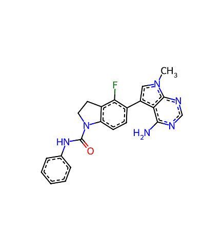 Cn1cc(-c2ccc3c(c2F)CCN3C(=O)Nc2ccccc2)c2c(N)ncnc21